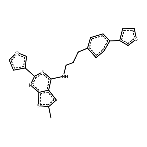 Cc1cc2c(NCCCc3ccc(-c4ccsc4)cc3)nc(-c3ccoc3)nc2s1